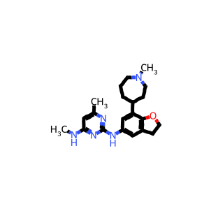 CNc1cc(C)nc(Nc2cc3c(c(C4CCCN(C)CC4)c2)OCC3)n1